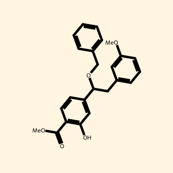 COC(=O)c1ccc(C(Cc2cccc(OC)c2)OCc2ccccc2)cc1O